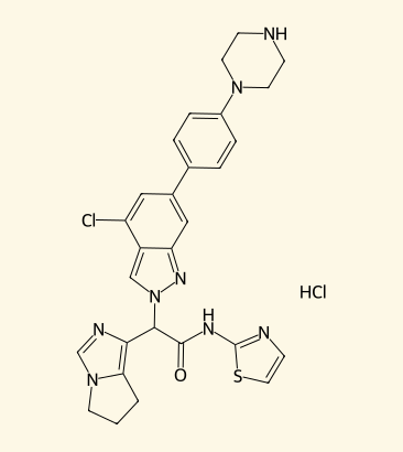 Cl.O=C(Nc1nccs1)C(c1ncn2c1CCC2)n1cc2c(Cl)cc(-c3ccc(N4CCNCC4)cc3)cc2n1